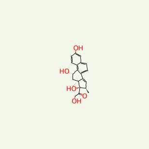 C[C@@H]1C=C2c3ccc4cc(O)ccc4c3[C@@H](O)C[C@]2(C)[C@@]1(O)C(=O)CO